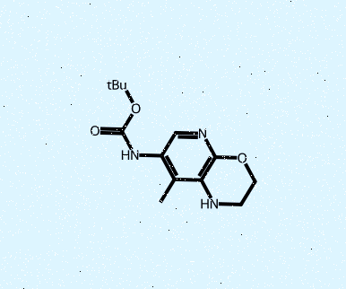 Cc1c(NC(=O)OC(C)(C)C)cnc2c1NCCO2